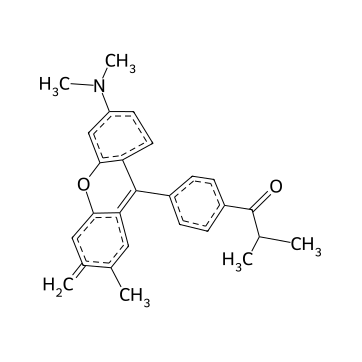 C=c1cc2c(cc1C)=C(c1ccc(C(=O)C(C)C)cc1)c1ccc(N(C)C)cc1O2